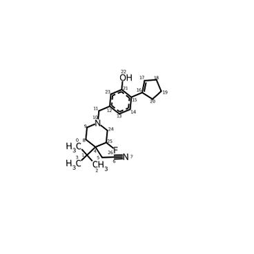 CC(C)(C)C1(CC#N)CCN(Cc2ccc(C3=CCCC3)c(O)c2)CC1F